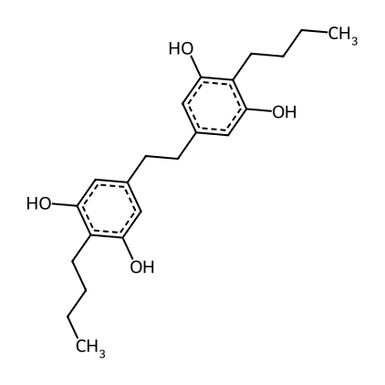 CCCCc1c(O)cc(CCc2cc(O)c(CCCC)c(O)c2)cc1O